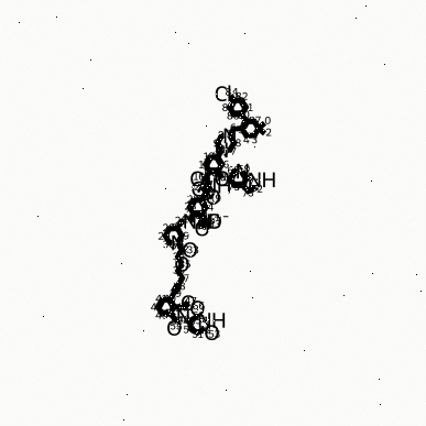 CC1(C)CCC(CN2CCN(c3ccc(C(=O)NS(=O)(=O)c4ccc(NCC5CCCN(C(=O)COCCC#Cc6cccc7c6C(=O)N(C6CCC(=O)NC6=O)C7=O)C5)c([N+](=O)[O-])c4)c(Oc4cnc5[nH]ccc5c4)c3)CC2)=C(c2ccc(Cl)cc2)C1